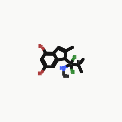 CC1=Cc2c(Br)cc(Br)cc2[CH]1[Zr]([Cl])([Cl])([NH]C(C)(C)C)[SiH](C)C